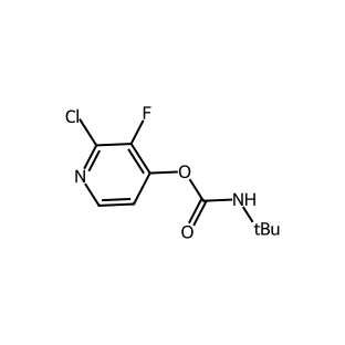 CC(C)(C)NC(=O)Oc1ccnc(Cl)c1F